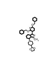 Cn1nc(-c2ccc(OCc3ccccc3)nc2OCc2ccccc2)c2cccc(N3CCC(C4OCCO4)CC3)c21